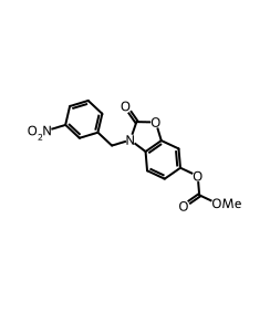 COC(=O)Oc1ccc2c(c1)oc(=O)n2Cc1cccc([N+](=O)[O-])c1